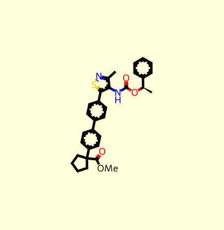 COC(=O)C1(c2ccc(-c3ccc(-c4snc(C)c4NC(=O)O[C@H](C)c4ccccc4)cc3)cc2)CCCC1